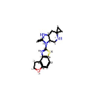 C=C1NC2CC3(CC3)NCC2N1c1nc2c3c(ccc2s1)OCC3